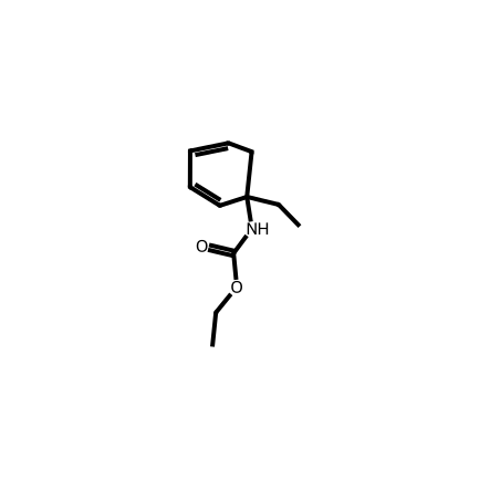 CCOC(=O)NC1(CC)C=CC=CC1